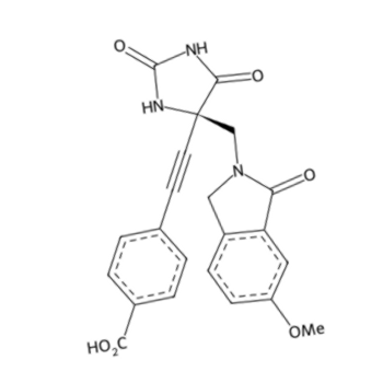 COc1ccc2c(c1)C(=O)N(C[C@@]1(C#Cc3ccc(C(=O)O)cc3)NC(=O)NC1=O)C2